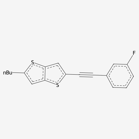 CCCCc1cc2sc(C#Cc3cccc(F)c3)cc2s1